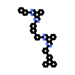 c1cc(-c2ccc3ccc(-c4ncc5c6ccccc6c6cnc(-c7ccc8ccccc8c7)nc6c5n4)cc3c2)cc(-c2ncc3c4ccccc4c4cnc(-c5cccc(-c6ccc7c8ccccc8c8ccccc8c7c6)c5)nc4c3n2)c1